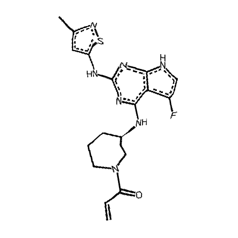 C=CC(=O)N1CCC[C@@H](Nc2nc(Nc3cc(C)ns3)nc3[nH]cc(F)c23)C1